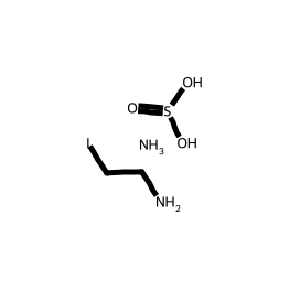 N.NCCI.O=S(O)O